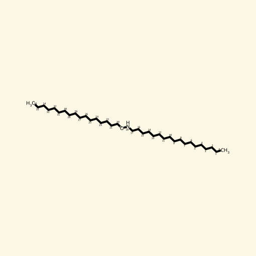 CCCCCCCCCCCCCCCCCCNOCCCCCCCCCCCCCCCCC